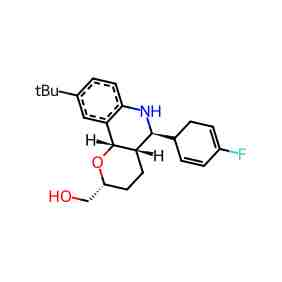 CC(C)(C)c1ccc2c(c1)[C@H]1O[C@@H](CO)CC[C@H]1[C@H](C1C=CC(F)=CC1)N2